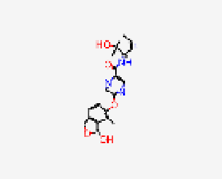 C/C=C\[C@H](NC(=O)c1cnc(Oc2ccc3c(c2C)B(O)OC3)cn1)C(C)(C)O